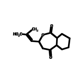 CC(=CC1CC(=O)C2CCCCC2C(=O)O1)C(=O)O